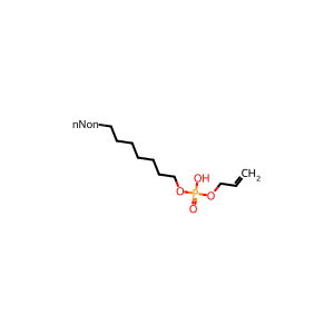 C=CCOP(=O)(O)OCCCCCCCCCCCCCCCC